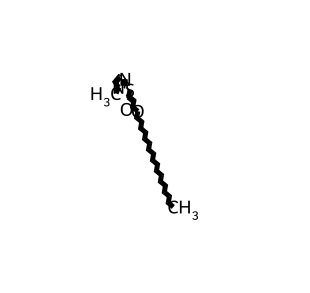 CCCCCCCCCCCCCCCCCCOC(=O)C=CSc1nccn1C